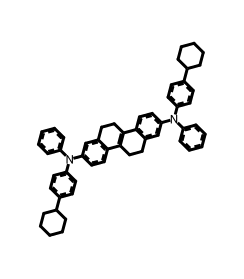 c1ccc(N(c2ccc(C3CCCCC3)cc2)c2ccc3c(c2)CCC2=C3CCc3cc(N(c4ccccc4)c4ccc(C5CCCCC5)cc4)ccc32)cc1